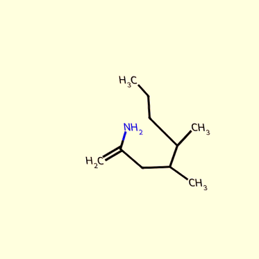 C=C(N)CC(C)C(C)CCC